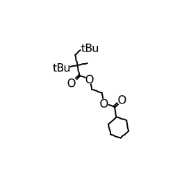 CC(C)(C)CC(C)(C(=O)OCCOC(=O)C1CCCCC1)C(C)(C)C